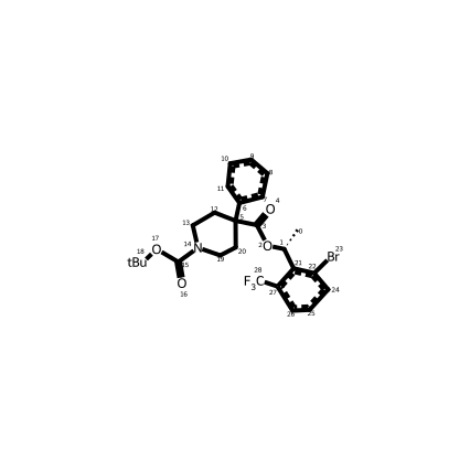 C[C@@H](OC(=O)C1(c2ccccc2)CCN(C(=O)OC(C)(C)C)CC1)c1c(Br)cccc1C(F)(F)F